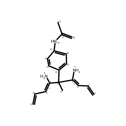 C=C/C=C(\N)C(C)(/C(N)=C/C=C)c1ccc(NC(=C)C)cc1